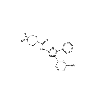 CCCc1cccc(-c2cc(NC(=O)C3CCS(=O)(=O)CC3)nn2-c2ccccc2)c1